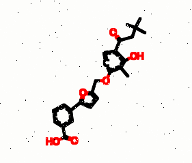 Cc1c(OCc2ccc(-c3cccc(C(=O)O)c3)o2)ccc(C(=O)CC(C)(C)C)c1O